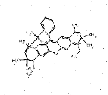 CCN1c2cc3c(cc2C(C)=CC1(C)C)C(c1ccccc1C(C)(C)C)=c1cc2c(cc1O3)=[N+](CC)C(C)(C)C=C2C